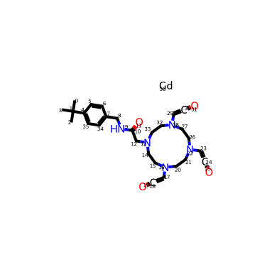 CC(C)(C)c1ccc(CNC(=O)CN2CCN(C=C=O)CCN(C=C=O)CCN(C=C=O)CC2)cc1.[Gd]